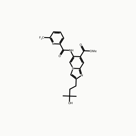 COC(=O)c1cc2nc(CCC(C)(C)O)cn2cc1NC(=O)c1cccc(C(F)(F)F)n1